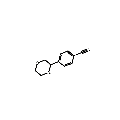 N#Cc1ccc(C2COCCN2)cc1